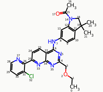 CCOCc1nc(Nc2ccc3c(c2)N(C(C)=O)CC3(C)C)c2ccc(-c3ncccc3Cl)nc2n1